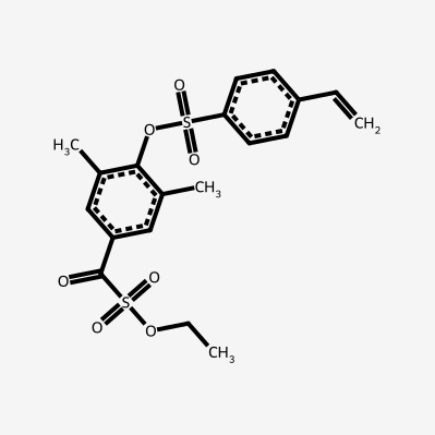 C=Cc1ccc(S(=O)(=O)Oc2c(C)cc(C(=O)S(=O)(=O)OCC)cc2C)cc1